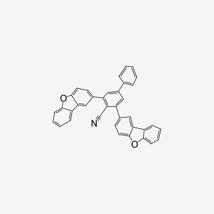 N#Cc1c(-c2ccc3oc4ccccc4c3c2)cc(-c2ccccc2)cc1-c1ccc2oc3ccccc3c2c1